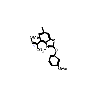 CO/N=C(/C(=O)O)c1cc(C)cc2sc(Oc3cccc(OC)c3)nc12